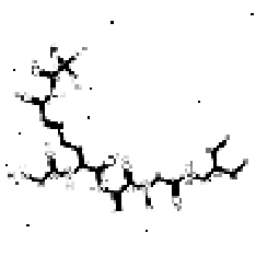 C=C(NC(=O)C(CCC=CC(=O)OC(=O)C(F)(F)F)NC(=O)CN)C(=O)N(C)CC(=O)NCC(CC)CC